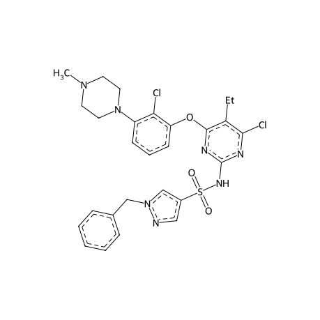 CCc1c(Cl)nc(NS(=O)(=O)c2cnn(Cc3ccccc3)c2)nc1Oc1cccc(N2CCN(C)CC2)c1Cl